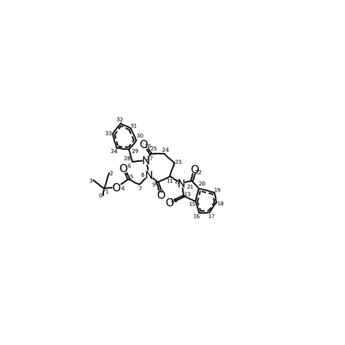 CC(C)(C)OC(=O)CN1C(=O)C(N2C(=O)c3ccccc3C2=O)CCC(=O)N1Cc1ccccc1